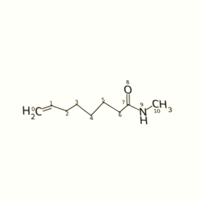 C=CCCCCCC(=O)NC